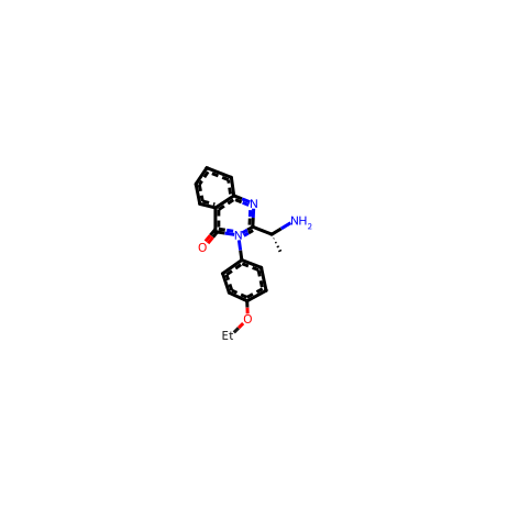 CCOc1ccc(-n2c([C@@H](C)N)nc3ccccc3c2=O)cc1